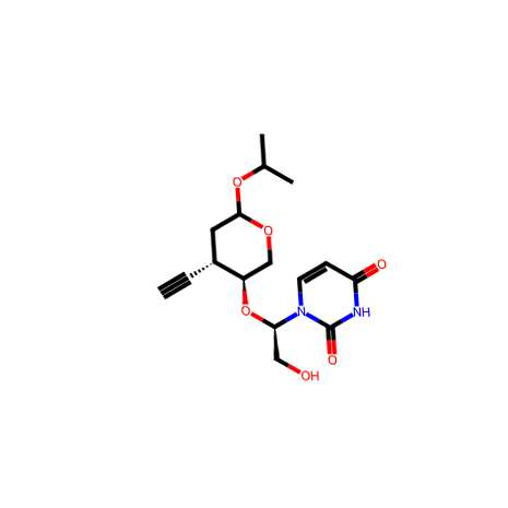 C#C[C@@H]1CC(OC(C)C)OC[C@H]1O[C@H](CO)n1ccc(=O)[nH]c1=O